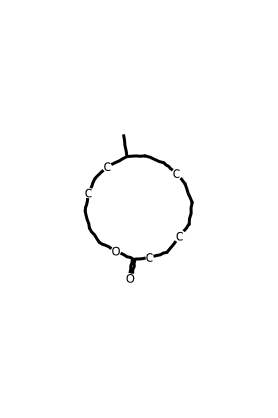 CC1CCCCCCCCCC(=O)OCCCCCC1